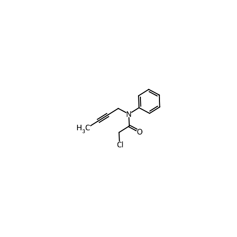 CC#CCN(C(=O)CCl)c1ccccc1